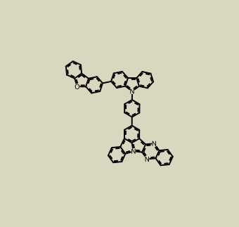 c1ccc2nc3c(nc2c1)c1cc(-c2ccc(-n4c5ccccc5c5ccc(-c6ccc7oc8ccccc8c7c6)cc54)cc2)cc2c4ccccc4n3c21